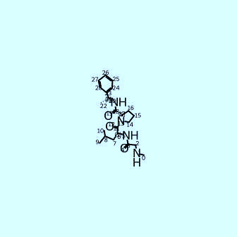 CNCC(=O)N[C@@H](CC(C)C)C(=O)N1CCC[C@H]1C(=O)N[C@H](C)c1ccccc1